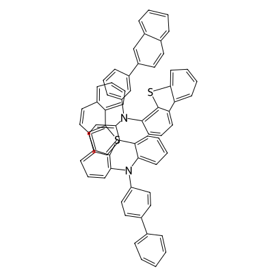 c1ccc(-c2ccc(N(c3ccccc3-c3ccccc3N(c3cccc(-c4ccc5ccccc5c4)c3)c3cccc4c3sc3ccccc34)c3cccc4c3sc3c5ccccc5ccc43)cc2)cc1